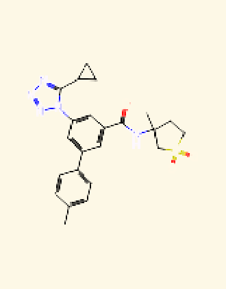 Cc1ccc(-c2cc(C(=O)NC3(C)CCS(=O)(=O)C3)cc(-n3nnnc3C3CC3)c2)cc1